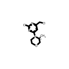 C[C@H]1COCCN1c1cc(CCl)nc(Cl)n1